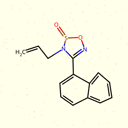 C=CCN1C(c2cccc3ccccc23)=NOS1=O